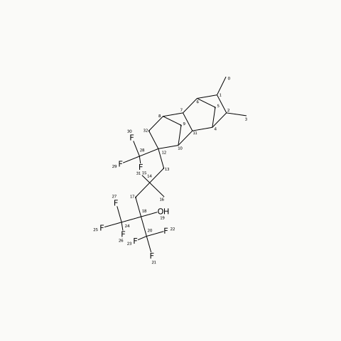 CC1C(C)C2CC1C1C3CC(C21)C(CC(C)(C)CC(O)(C(F)(F)F)C(F)(F)F)(C(F)(F)F)C3